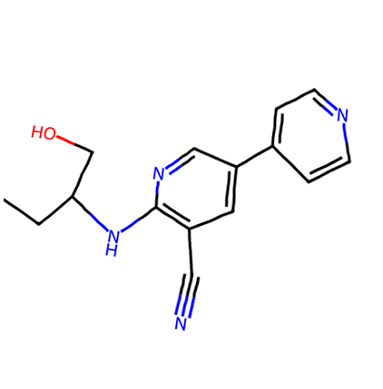 CCC(CO)Nc1ncc(-c2ccncc2)cc1C#N